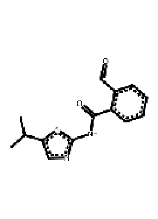 CC(C)c1cnc(NC(=O)c2ccccc2C=O)s1